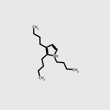 CCCCC1=C(CCCC)[SiH](CCCC)C=C1